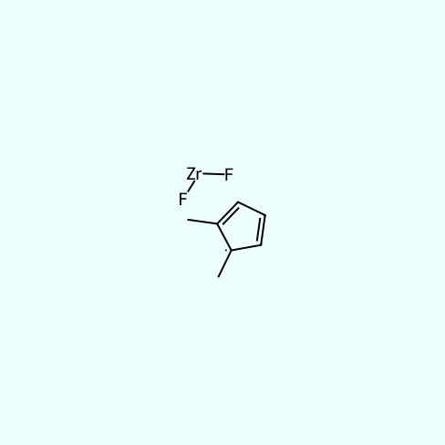 C[C]1C=CC=C1C.[F][Zr][F]